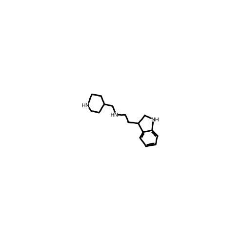 c1ccc2c(c1)NCC2CCNCC1CCNCC1